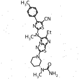 CCc1nc2sc(N3CCC[C@@H](N(C)C(N)=O)C3)nn2c1N(C)c1nc(-c2ccc(C)cc2)c(C#N)s1